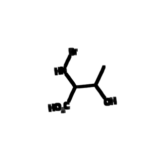 CC(O)C(NBr)C(=O)O